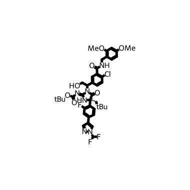 COc1ccc(CNC(=O)c2cc(C(CO)N3C(=O)[C@@](CC(C)(C)C)(c4ccc(-c5cnn(C(F)F)c5)cc4F)NC3=NC(=O)OC(C)(C)C)ccc2Cl)c(OC)c1